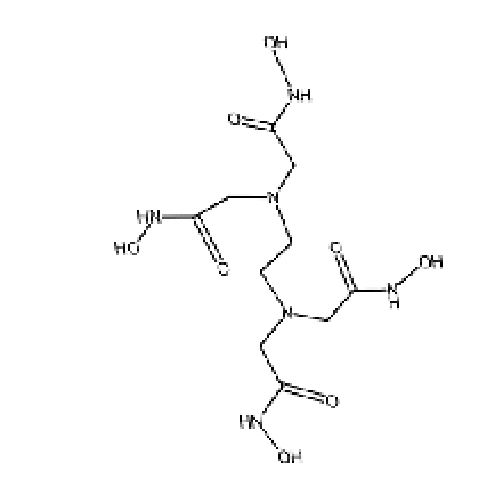 O=C(CN(CCN(CC(=O)NO)CC(=O)NO)CC(=O)NO)NO